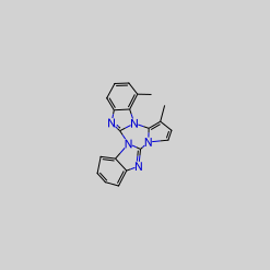 Cc1cccc2nc3n4c5ccccc5nc4n4ccc(C)c4n3c12